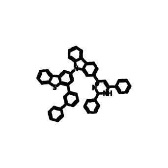 C1=C(c2ccccc2)NC(c2ccccc2)N=C1c1ccc2c3ccccc3n(-c3cc(-c4cccc(-c5ccccc5)c4)c4sc5ccccc5c4c3)c2c1